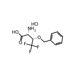 Cl.N[C@@H](C(=O)O)[C@H](OCc1ccccc1)C(F)(F)F